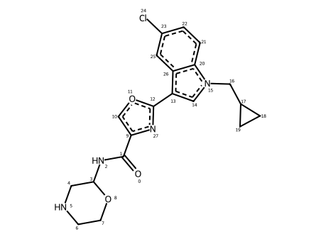 O=C(NC1CNCCO1)c1coc(-c2cn(CC3CC3)c3ccc(Cl)cc23)n1